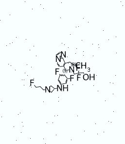 C[C@@H]1Cc2c(ccn3ccnc23)[C@@H](c2c(F)cc(NC3CN(CCCF)C3)cc2F)N1CC(F)(F)CO